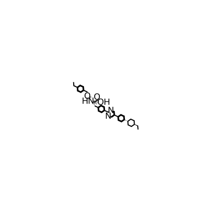 CCc1ccc(COCN[C@@H](Cc2ccc(-c3ncc(-c4ccc([C@H]5CC[C@H](CC)CC5)cc4)cn3)cc2)C(=O)O)cc1